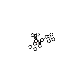 c1ccc(-c2ccccc2-c2ccccc2-c2ccccc2N(c2ccc(-c3ccc4c(c3)C(c3ccccc3)(c3ccccc3)c3ccccc3-4)cc2)c2cccc(-n3c4ccccc4c4ccccc43)c2)cc1